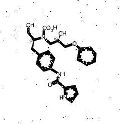 O=C(Nc1ccc(C[C@@H](CO)N(C[C@H](O)COc2ccccc2)C(=O)O)cc1)c1ccc[nH]1